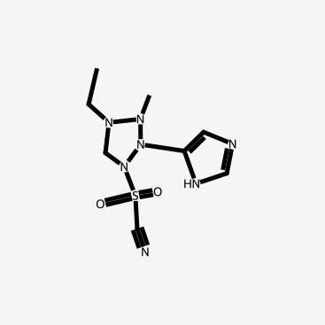 CCN1CN(S(=O)(=O)C#N)N(c2cnc[nH]2)N1C